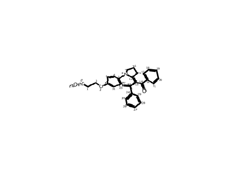 CCCCCCCCCCCCOc1ccc(N2CCCC2=C(C(=O)c2ccccc2)C(=O)c2ccccc2)cc1